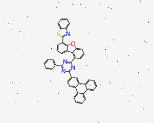 c1ccc(-c2nc(-c3ccc4c5ccccc5c5ccccc5c4c3)nc(-c3cccc4oc5c(-c6nc7ccccc7s6)cccc5c34)n2)cc1